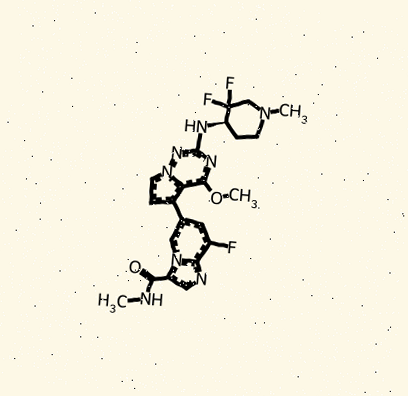 CNC(=O)c1cnc2c(F)cc(-c3ccn4nc(N[C@@H]5CCN(C)CC5(F)F)nc(OC)c34)cn12